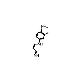 N=C/C=C\Nc1ccc(N)c(F)c1